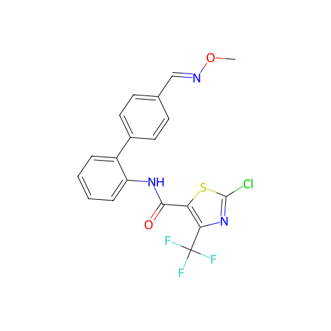 CO/N=C/c1ccc(-c2ccccc2NC(=O)c2sc(Cl)nc2C(F)(F)F)cc1